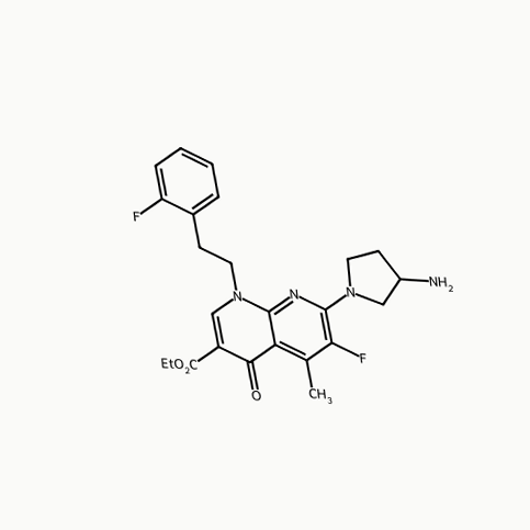 CCOC(=O)c1cn(CCc2ccccc2F)c2nc(N3CCC(N)C3)c(F)c(C)c2c1=O